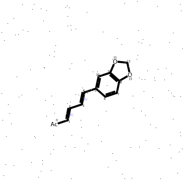 CC(=O)/C=C/C=C/c1ccc2c(c1)OCO2